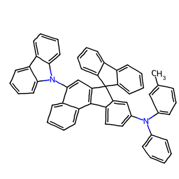 Cc1cccc(N(c2ccccc2)c2ccc3c(c2)C2(c4ccccc4-c4ccccc42)c2cc(-n4c5ccccc5c5ccccc54)c4ccccc4c2-3)c1